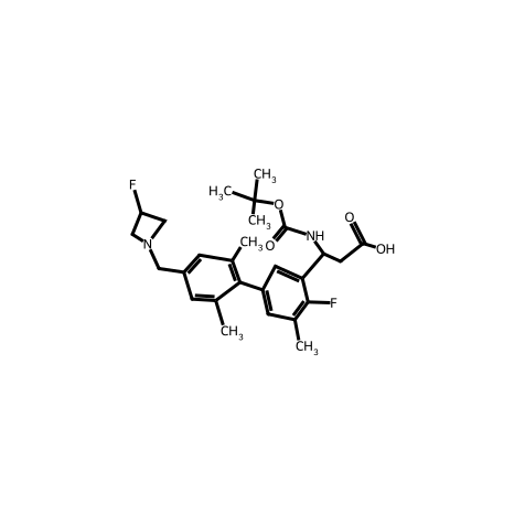 Cc1cc(-c2c(C)cc(CN3CC(F)C3)cc2C)cc(C(CC(=O)O)NC(=O)OC(C)(C)C)c1F